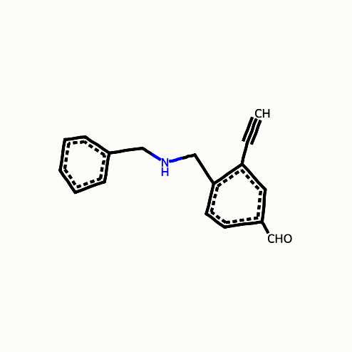 C#Cc1cc(C=O)ccc1CNCc1ccccc1